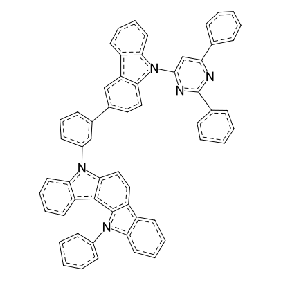 c1ccc(-c2cc(-n3c4ccccc4c4cc(-c5cccc(-n6c7ccccc7c7c6ccc6c8ccccc8n(-c8ccccc8)c67)c5)ccc43)nc(-c3ccccc3)n2)cc1